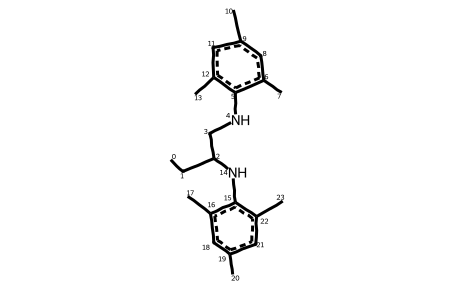 CCC(CNc1c(C)cc(C)cc1C)Nc1c(C)cc(C)cc1C